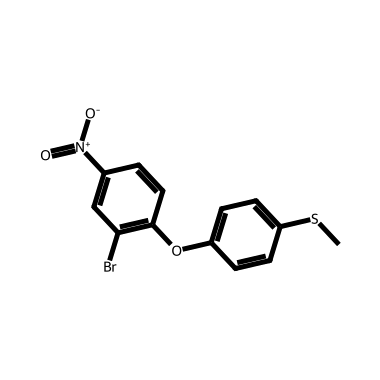 CSc1ccc(Oc2ccc([N+](=O)[O-])cc2Br)cc1